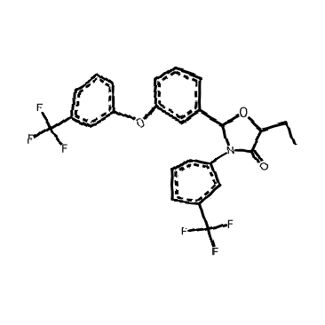 CCC1OC(c2cccc(Oc3cccc(C(F)(F)F)c3)c2)N(c2cccc(C(F)(F)F)c2)C1=O